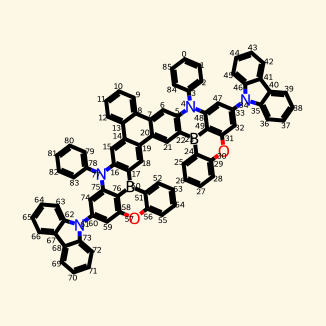 c1ccc(N2c3cc4c5ccccc5c5cc6c(cc5c4cc3B3c4ccccc4Oc4cc(-n5c7ccccc7c7ccccc75)cc2c43)B2c3ccccc3Oc3cc(-n4c5ccccc5c5ccccc54)cc(c32)N6c2ccccc2)cc1